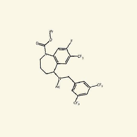 CC(=O)N(Cc1cc(C(F)(F)F)cc(C(F)(F)F)c1)C1CCCN(C(=O)OC(C)C)c2cc(F)c(C(F)(F)F)cc21